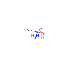 CCCCCC/C=C(\N)C(=O)O